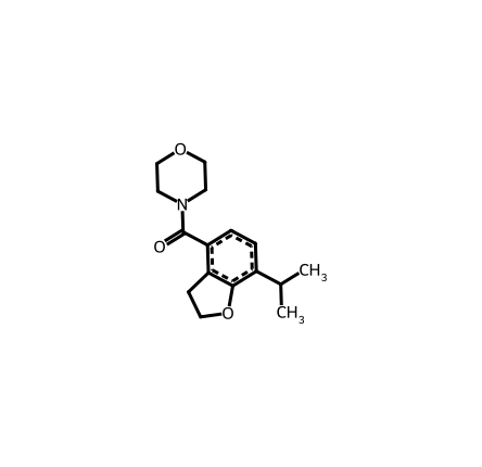 CC(C)c1ccc(C(=O)N2CCOCC2)c2c1OCC2